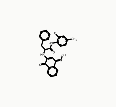 Cc1ccc(NC(=O)C(Cc2ccccc2)NC2=CC(=NO)c3ccccc3C2=O)c(F)c1